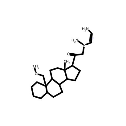 COCC12CCCCC1CCC1C3CCC(C(=O)CN(N)/C=C\N)C3(C)CCC12